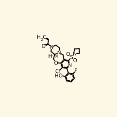 C=CC(=O)N1CCN2Cc3c(S(=O)(=O)N4CCC4)nc(-c4c(O)cccc4F)c(Cl)c3OC[C@H]2C1